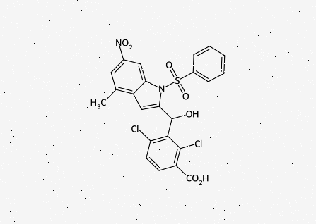 Cc1cc([N+](=O)[O-])cc2c1cc(C(O)c1c(Cl)ccc(C(=O)O)c1Cl)n2S(=O)(=O)c1ccccc1